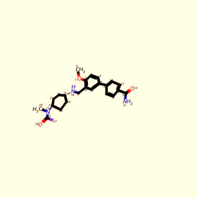 COc1ccc(-c2ccc(C(N)=O)cc2)cc1CN[C@H]1CC[C@H](N(C)C(=O)I)CC1